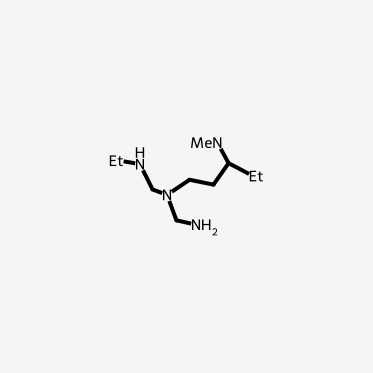 CCNCN(CN)CCC(CC)NC